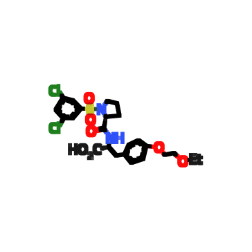 CCOCCOc1ccc(C[C@H](NC(=O)[C@@H]2CCCN2S(=O)(=O)c2cc(Cl)cc(Cl)c2)C(=O)O)cc1